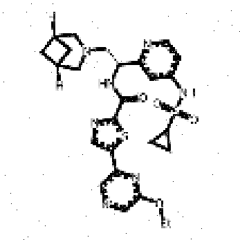 CCOc1cncc(-c2cnc(C(=O)N[C@H](CN3C[C@H]4C[C@@H](C3)C4)c3cc(NS(=O)(=O)C4CC4)ccn3)s2)n1